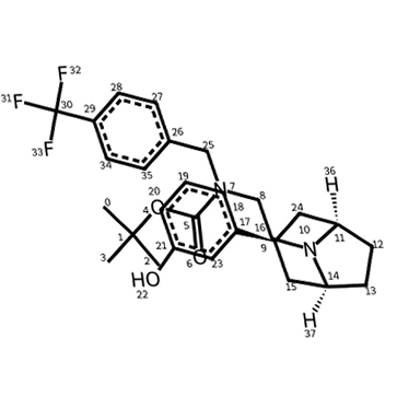 CC(C)(C)OC(=O)N(CCN1[C@@H]2CC[C@H]1C[C@@H](c1cccc(O)c1)C2)Cc1ccc(C(F)(F)F)cc1